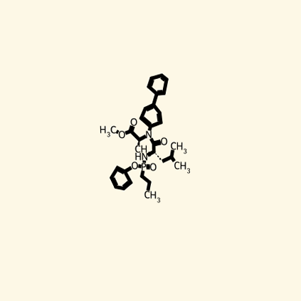 CCCP(=O)(N[C@@H](CC(C)C)C(=O)N(c1ccc(-c2ccccc2)cc1)[C@@H](C)C(=O)OC)Oc1ccccc1